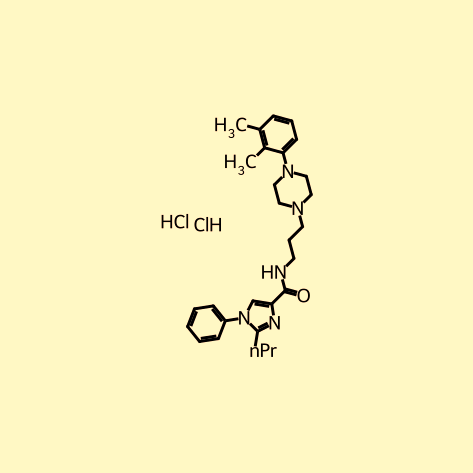 CCCc1nc(C(=O)NCCCN2CCN(c3cccc(C)c3C)CC2)cn1-c1ccccc1.Cl.Cl